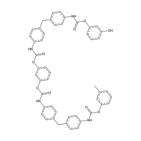 Cc1cccc(OC(=O)Nc2ccc(Cc3ccc(NC(=O)Oc4cccc(OC(=O)Nc5ccc(Cc6ccc(NC(=O)Oc7cccc(O)c7)cc6)cc5)c4)cc3)cc2)c1